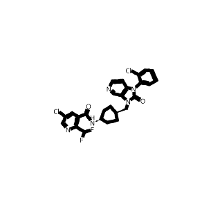 O=C(N[C@H]1CC[C@H](Cn2c(=O)n(-c3ccccc3Cl)c3ccncc32)CC1)c1cc(Cl)cnc1C(F)F